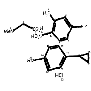 CNCC(=O)O.Cc1cc(F)ccc1C(=O)O.Cl.Oc1ccc(C2CC2)cc1